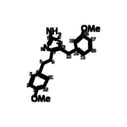 COc1ccc(CCc2nc(N)sc2Cc2cccc(OC)c2)cc1